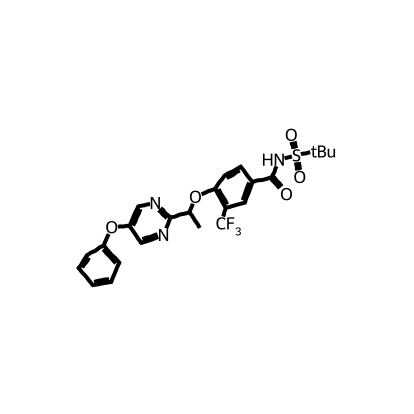 CC(Oc1ccc(C(=O)NS(=O)(=O)C(C)(C)C)cc1C(F)(F)F)c1ncc(Oc2ccccc2)cn1